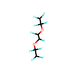 FC(OC(F)(F)C(F)F)C(F)OC(F)(F)C(F)F